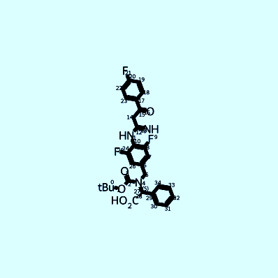 CC(C)(C)OC(=O)N(Cc1cc(F)c(NC(=N)CC(=O)c2ccc(F)cc2)c(F)c1)[C@H](C(=O)O)c1ccccc1